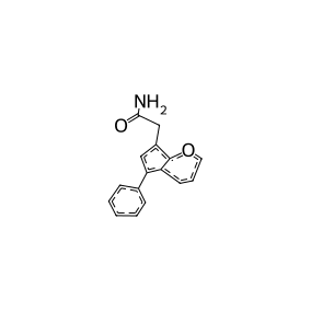 NC(=O)Cc1cc(-c2ccccc2)c2cccoc1-2